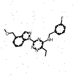 CCc1nnc(-n2ncc3c(COC)cccc32)nc1NCc1cccc(F)c1